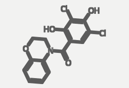 O=C(c1cc(Cl)c(O)c(Cl)c1O)N1CCOc2ccccc21